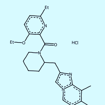 CCOc1ccc(CC)nc1C(=O)N1CCCCC1Cc1cn2ccc(C)c(C)c2n1.Cl